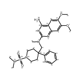 COc1cc2nc(N(C)CC3(c4ccccn4)CCN(S(=O)(=O)N(C)C)CC3)nc(N)c2cc1OC